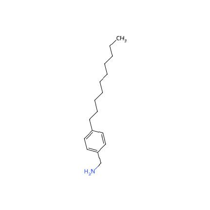 CCCCCCCCCCc1ccc(CN)cc1